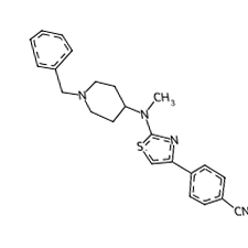 CN(c1nc(-c2ccc(C#N)cc2)cs1)C1CCN(Cc2ccccc2)CC1